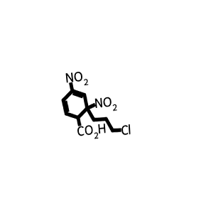 O=C(O)C1C=CC([N+](=O)[O-])=CC1(CCCCl)[N+](=O)[O-]